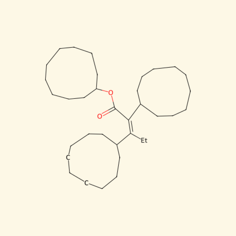 CCC(=C(C(=O)OC1CCCCCCCCC1)C1CCCCCCCCC1)C1CCCCCCCCC1